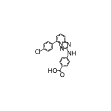 O=C(O)c1ccc(Nc2nc3cccc(-c4ccc(Cl)cc4)n3n2)cc1